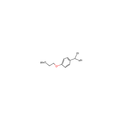 CCCC(CC)c1ccc(OCCOC)cc1